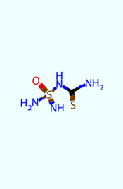 N=S(N)(=O)NC(N)=S